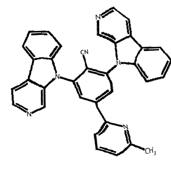 Cc1cccc(-c2cc(-n3c4ccccc4c4ccncc43)c(C#N)c(-n3c4ccccc4c4ccncc43)c2)n1